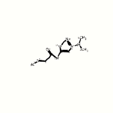 CC(=O)SCC(=O)[N-]c1c[n+](N(C)C)no1